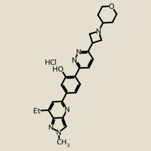 CCc1cc(-c2ccc(-c3ccc(C4CN(C5CCOCC5)C4)nn3)c(O)c2)nc2cn(C)nc12.Cl